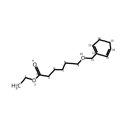 CCOC(=O)CCCCCOCC1=CCCC=C1